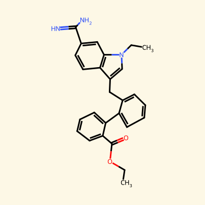 CCOC(=O)c1ccccc1-c1ccccc1Cc1cn(CC)c2cc(C(=N)N)ccc12